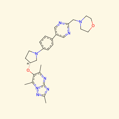 Cc1nc2nc(C)c(O[C@@H]3CCN(c4ccc(-c5cnc(CN6CCOCC6)nc5)cc4)C3)c(C)n2n1